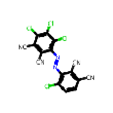 N#Cc1ccc(Cl)c(N=Nc2c(Cl)c(Cl)c(Cl)c(C#N)c2C#N)c1C#N